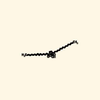 CCCCCCCCCCCCCCCCC1CCN(C(=O)CCCCCCCCCCCCCCC)C1(O)C(=O)O